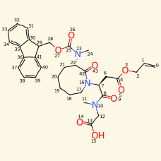 C=CCOC(=O)C[C@@H](C(=O)N(C)CC(=O)O)N1CCCCC[C@H](N(C)C(=O)OCC2c3ccccc3-c3ccccc32)C1=O